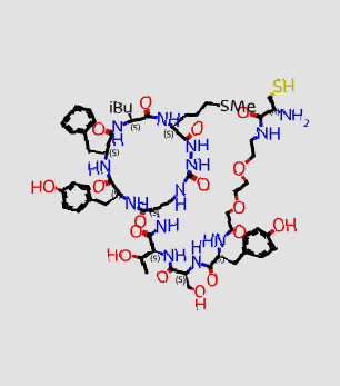 CCC(C)[C@@H]1NC(=O)[C@H](Cc2ccccc2)NC(=O)[C@H](Cc2ccc(O)cc2)NC(=O)[C@@H](NC(=O)[C@@H](NC(=O)[C@H](CO)NC(=O)[C@H](Cc2ccc(O)cc2)NC(=O)COCCOCCNC(=O)[C@@H](N)CS)C(C)O)CNC(=O)NNC(=O)[C@H](CCCSC)NC1=O